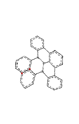 c1ccc(N2B3c4c(cccc4-c4ccccc4N3c3ccccc3)-c3ccccc32)cc1